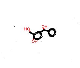 OCc1cc(C(O)c2ccccc2)ccc1O